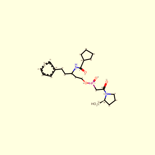 O=C(NC(CCO[PH](=O)CC(=O)N1CCC[C@H]1C(=O)O)CCc1ccccc1)C1CCCC1